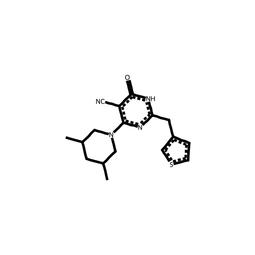 CC1CC(C)CN(c2nc(Cc3ccsc3)[nH]c(=O)c2C#N)C1